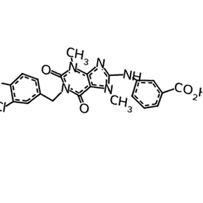 Cn1c(Nc2cccc(C(=O)O)c2)nc2c1c(=O)n(Cc1ccc(Cl)c(Cl)c1)c(=O)n2C